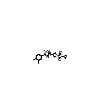 Cc1ccc(-c2nnn(C3CN(S(=O)(=O)C4CC4)C3)n2)cc1C